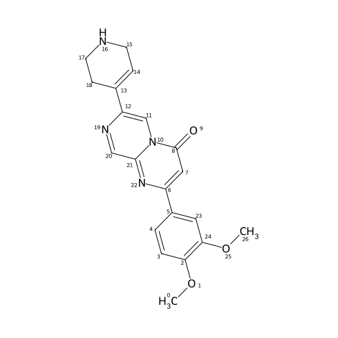 COc1ccc(-c2cc(=O)n3cc(C4=CCNCC4)ncc3n2)cc1OC